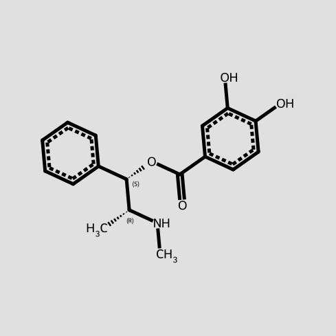 CN[C@H](C)[C@@H](OC(=O)c1ccc(O)c(O)c1)c1ccccc1